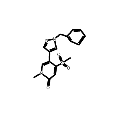 Cn1cc(-c2cnn(Cc3ccccc3)c2)c(S(C)(=O)=O)cc1=O